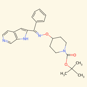 CC(C)(C)OC(=O)N1CCC(O/N=C(\c2ccccc2)c2cc3ccncc3[nH]2)CC1